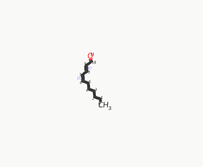 CCCCCC/C=C\C=C\C=O